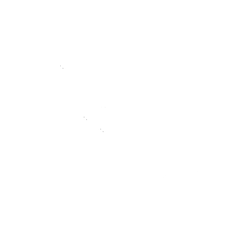 CC(C)Cc1ccc2cc(NC(=O)Nc3ccc4[nH]ccc4c3)ccc2c1